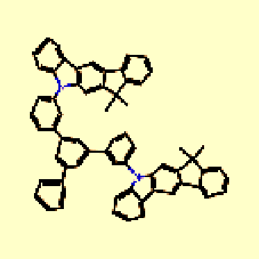 CC1(C)c2ccccc2-c2cc3c4ccccc4n(-c4cccc(-c5cc(-c6ccccc6)cc(-c6cccc(-n7c8ccccc8c8cc9c(cc87)C(C)(C)c7ccccc7-9)c6)c5)c4)c3cc21